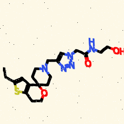 CCc1cc2c(s1)CCOC21CCN(Cc2cn(CC(=O)NCCO)nn2)CC1